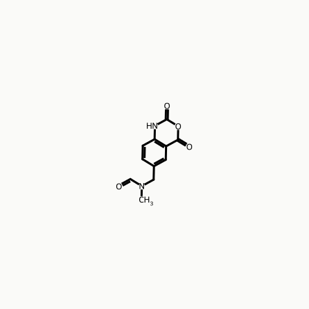 CN(C=O)Cc1ccc2[nH]c(=O)oc(=O)c2c1